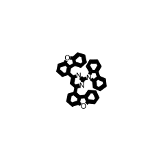 c1ccc2c(c1)oc1cccc(-c3cc(-c4cccc5oc6ccccc6c45)nc(-n4c5ccccc5c5ccccc54)n3)c12